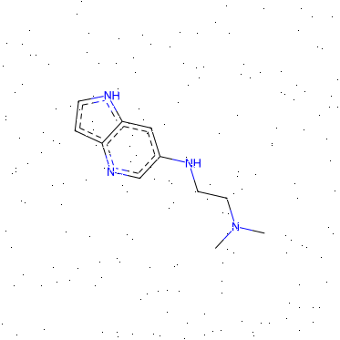 CN(C)CCNc1cnc2cc[nH]c2c1